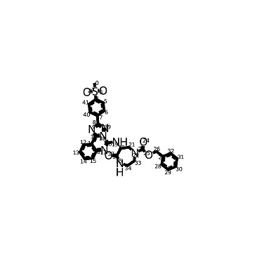 CS(=O)(=O)c1ccc(-c2nc3c4ccccc4nc(N[C@@H]4CN(C(=O)OCc5ccccc5)CCNC4=O)n3n2)cc1